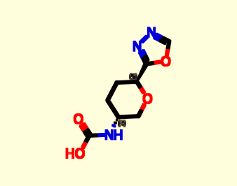 O=C(O)N[C@@H]1CC[C@@H](c2nnco2)OC1